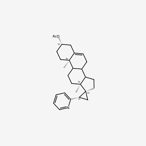 CC(=O)O[C@H]1CC[C@@]2(C)C(=CCC3C2CC[C@@]2(C)C3CC[C@@]23C[C@@H]3c2ccccn2)C1